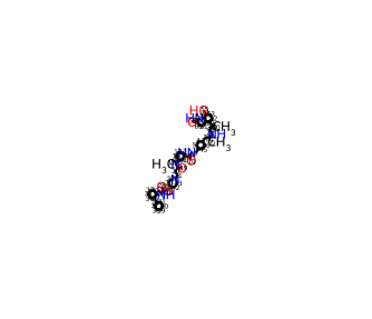 C[C@H](Cc1ccc(CNC(=O)c2cccc(N(C)C(=O)CCN3CCC(OC(=O)Nc4ccccc4-c4ccccc4)CC3)c2)cc1)NC[C@H](C)c1ccc(O)c2[nH]c(=O)ccc12